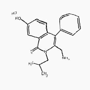 CC(C)Cn1c(CN)c(-c2ccccc2)c2ccc(O)cc2c1=O.Cl